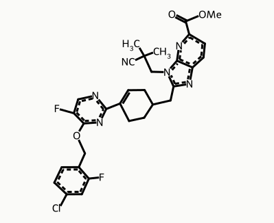 COC(=O)c1ccc2nc(CC3CC=C(c4ncc(F)c(OCc5ccc(Cl)cc5F)n4)CC3)n(CC(C)(C)C#N)c2n1